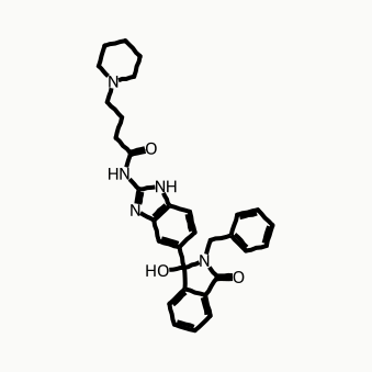 O=C(CCCN1CCCCC1)Nc1nc2cc(C3(O)c4ccccc4C(=O)N3Cc3ccccc3)ccc2[nH]1